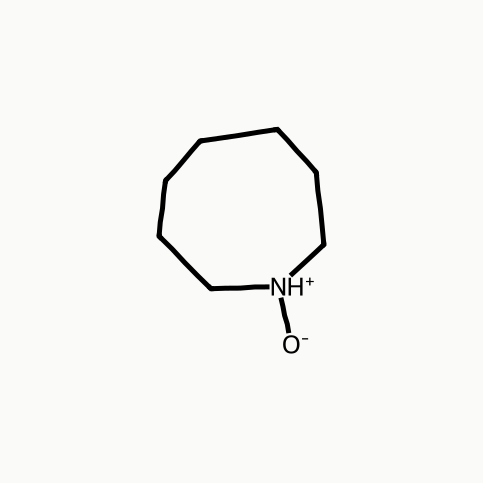 [O-][NH+]1CCCCCCC1